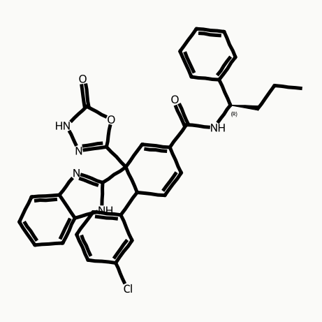 CCC[C@@H](NC(=O)C1=CC(c2nc3ccccc3[nH]2)(c2n[nH]c(=O)o2)C(c2cccc(Cl)c2)C=C1)c1ccccc1